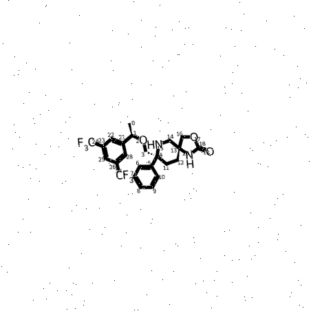 C[C@@H](OC[C@@]1(c2ccccc2)CC[C@@]2(CN1)COC(=O)N2)c1cc(C(F)(F)F)cc(C(F)(F)F)c1